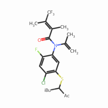 C=C(C)N(C(=O)/C(C)=C(\C)C(F)(F)F)c1cc(SC(C(C)=O)C(C)CC)c(Cl)cc1F